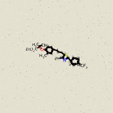 CCOC(=O)C(C)(C)Oc1ccc(C=CCc2sc(-c3ccc(C(F)(F)F)cc3)nc2C(C)C)cc1C